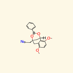 COc1ccc(OC)c2c1C[C@@]1(CC#N)C[C@@H]2OB(c2ccccc2)O1